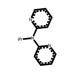 CC(C)N(c1ccccn1)c1ccccn1